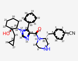 N#Cc1ccc(C[C@@H]2CNCCN2C(=O)c2ncn([C@@H]3CCCC[C@@]3(O)CC3CC3)c2-c2ccccc2)cc1